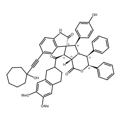 COc1cc2c(cc1OC)CC(C(=O)[C@@H]1[C@H]3C(=O)O[C@H](c4ccccc4)[C@H](c4ccccc4)N3[C@H](c3ccc(O)cc3)[C@@]13C(=O)Nc1ccc(C#CC4(O)CCCCCC4)cc13)CC2